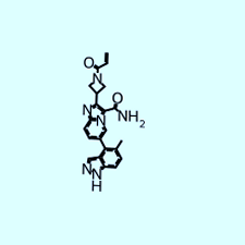 C=CC(=O)N1CC(c2nc3ccc(-c4c(C)ccc5[nH]ncc45)cn3c2C(N)=O)C1